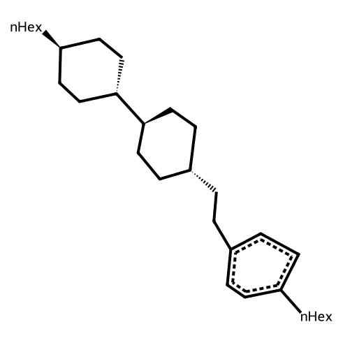 CCCCCCc1ccc(CC[C@H]2CC[C@H]([C@H]3CC[C@H](CCCCCC)CC3)CC2)cc1